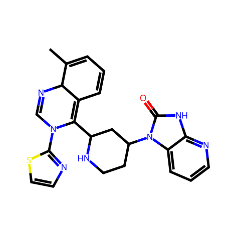 CC1=CC=CC2=C(C3CC(n4c(=O)[nH]c5ncccc54)CCN3)N(c3nccs3)C=NC12